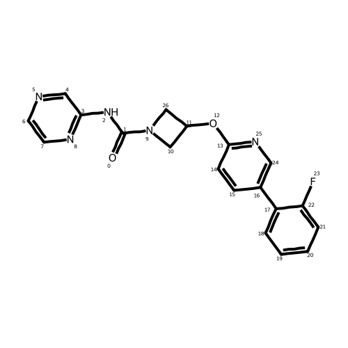 O=C(Nc1cnccn1)N1CC(Oc2ccc(-c3ccccc3F)cn2)C1